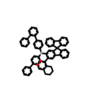 c1ccc(-c2ccc(N(c3ccc(-c4ccccc4-c4ccccc4)cc3)c3cc4c(cc3-c3cccc5c3CCCC5)-c3ccccc3C43c4ccccc4-c4ccccc43)cc2)cc1